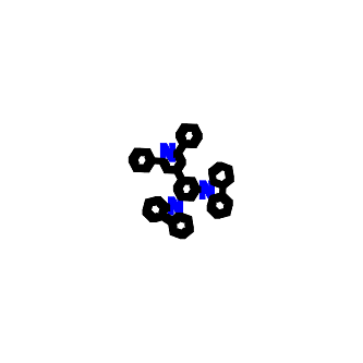 C1=CC2c3ccccc3N(c3cc(-c4cc(-c5ccccc5)nc(-c5ccccc5)c4)cc(-n4c5ccccc5c5ccccc54)c3)C2C=C1